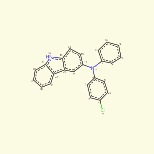 Clc1ccc(N(c2ccccc2)c2ccc3[nH]c4ccccc4c3c2)cc1